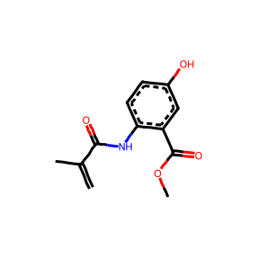 C=C(C)C(=O)Nc1ccc(O)cc1C(=O)OC